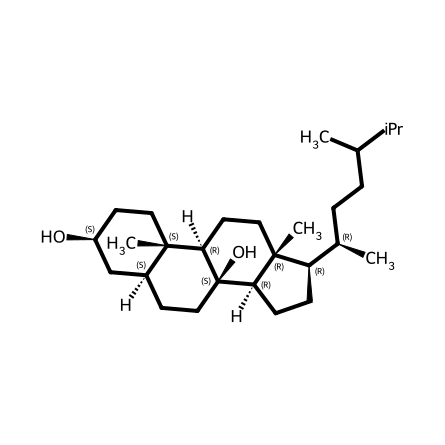 CC(C)C(C)CC[C@@H](C)[C@H]1CC[C@@H]2[C@]1(C)CC[C@@H]1[C@@]3(C)CC[C@H](O)C[C@@H]3CC[C@]12O